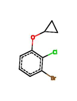 Clc1c(Br)cccc1OC1CC1